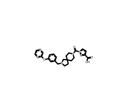 O=C(O)c1ccn(C(=O)N2CCC3(CCN(Cc4cccc(Oc5cnccn5)c4)C3)CC2)n1